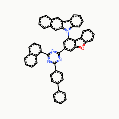 c1ccc(-c2ccc(-c3nc(-c4cc(-n5c6ccccc6c6cc7ccccc7cc65)c5c(c4)oc4ccccc45)nc(-c4cccc5ccccc45)n3)cc2)cc1